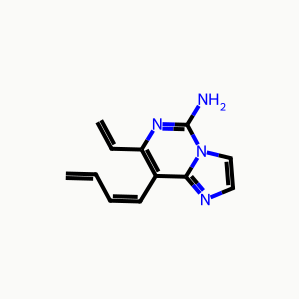 C=C/C=C\c1c(C=C)nc(N)n2ccnc12